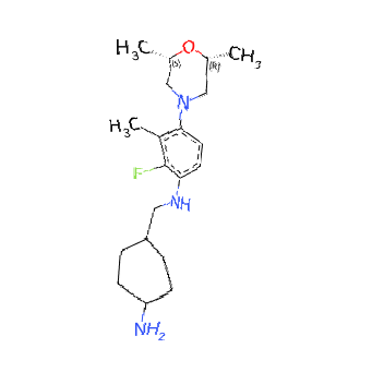 Cc1c(N2C[C@@H](C)O[C@@H](C)C2)ccc(NCC2CCC(N)CC2)c1F